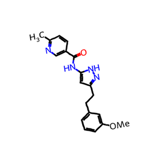 COc1cccc(CCc2cc(NC(=O)c3ccc(C)nc3)[nH]n2)c1